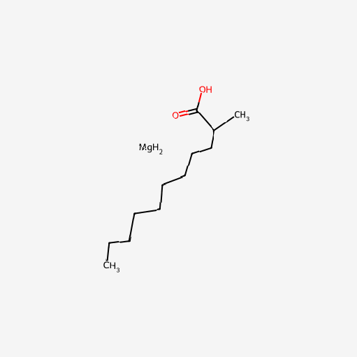 CCCCCCCCCC(C)C(=O)O.[MgH2]